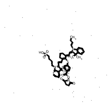 CCCCN1/C(=C/C=C2\CCCC(/C=C/C3=[N+](CCCCS(=O)(=O)O)c4ccccc4C3(C)C)=C2Sc2ccc(C(=O)ON3C(=O)CCC3=O)cc2)C(C)(C)c2ccccc21